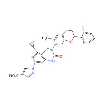 CCOC(=O)c1cnn(-c2cc3c(c(C4CC4)n2)CN(c2cc4c(cc2C)CCC(c2ncccc2F)O4)C(=O)N3)c1